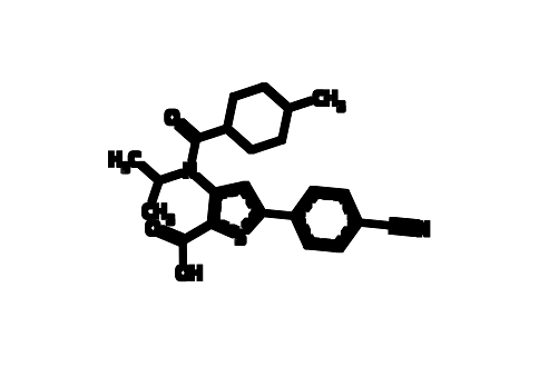 CC1CCC(C(=O)N(c2cc(-c3ccc(C#N)cc3)sc2C(=O)O)C(C)C)CC1